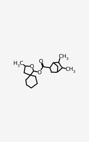 CC1CC2(CCCCC2)C(OC(=O)C2CC3CC2C(C)C3C)O1